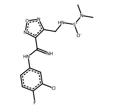 CN(C)[S+]([O-])NCc1nonc1C(=N)Nc1ccc(F)c(Cl)c1